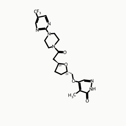 Cc1c(OC[C@@H]2CC[C@@H](CC(=O)N3CCN(c4ncc(C(F)(F)F)cn4)CC3)O2)cn[nH]c1=O